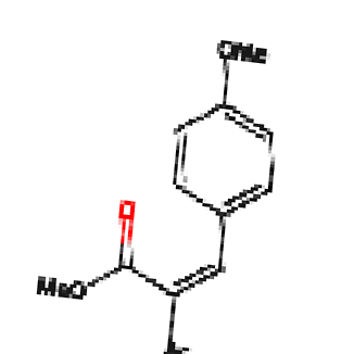 COC(=O)C(=Cc1ccc(OC)cc1)C(C)=O